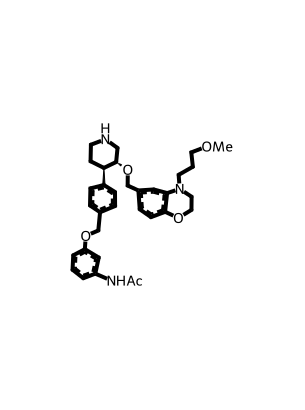 COCCCN1CCOc2ccc(CO[C@H]3CNCC[C@@H]3c3ccc(COc4cccc(NC(C)=O)c4)cc3)cc21